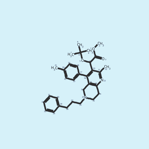 COC(=O)C(OC(C)(C)C)c1c(C)nc2c(c1-c1ccc(C)cc1)CN(CCCc1ccccc1)CC2